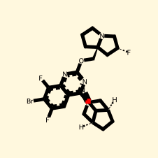 N#CC1[C@@H]2CC[C@H]1CN(c1nc(OC[C@@]34CCCN3C[C@H](F)C4)nc3c(F)c(Br)c(F)cc13)C2